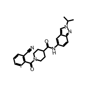 CC(C)n1cc2cc(NC(=O)C3CCN(C(=O)C4=C(C#N)C=CC=I4)CC3)ccc2n1